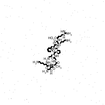 C[C@H](NC(=O)[C@@H](NC(=O)[C@@H](N)CCCCN)[C@@H](O)CN)C(=O)NCC(=O)N[C@H](CCCN)C(=O)N1CCC[C@H]1C(=O)N[C@@H](Cc1ccccn1)C(=O)N[C@@H](CCCCN)C(=O)N/C(=C\CCNC(=N)N)C(=O)O